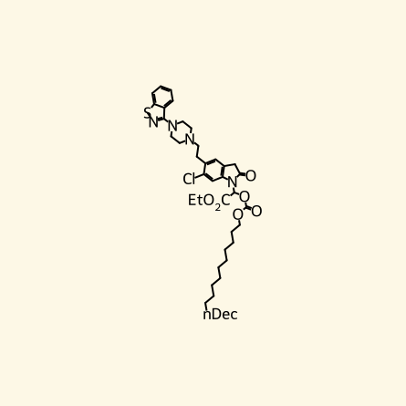 CCCCCCCCCCCCCCCCCCCCOC(=O)OC(C(=O)OCC)N1C(=O)Cc2cc(CCN3CCN(c4nsc5ccccc45)CC3)c(Cl)cc21